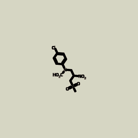 CS(=O)(=O)CC(CN(C(=O)O)c1ccc(Cl)cc1)[N+](=O)[O-]